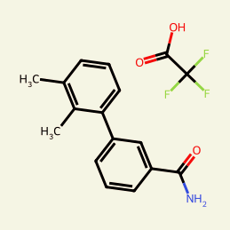 Cc1cccc(-c2cccc(C(N)=O)c2)c1C.O=C(O)C(F)(F)F